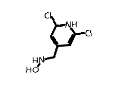 ONCC1=CC(Cl)NC(Cl)=C1